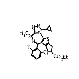 CCOC(=O)C1Cc2sc3c(c2C1)C(c1c(F)cccc1Cl)=N[C@@H](C)c1nnc(C2CC2)n1-3